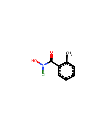 Cc1ccccc1C(=O)N(O)Cl